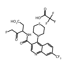 O=C(O)C(F)(F)F.O=C(O)CC(NC(=O)c1cnc2cc(C(F)(F)F)ccc2c1N1CCSCC1)C(=O)CF